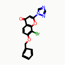 O=c1cc(-n2cncn2)oc2c(Br)c(OCc3ccccc3)ccc12